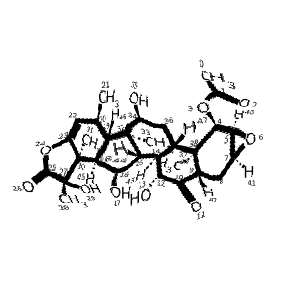 CC(=O)O[C@H]1[C@H]2O[C@H]2C[C@@H]2C(=O)[C@H](O)[C@H]3[C@@H]4[C@@H](O)[C@@H]5[C@H]([C@H](C)C=C6OC(=O)[C@@](C)(O)[C@@]65C)[C@@]4(C)[C@@H](O)C[C@@H]3[C@]21C